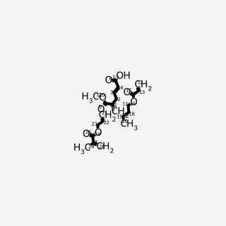 C=C(CC=CC(=O)O)C(=O)OC.C=CC(=O)OCCCC.C=CCOC(=O)C(=C)C